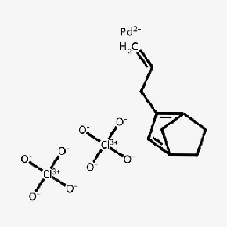 C=CCC1=C2CCC(=C1)C2.[O-][Cl+3]([O-])([O-])[O-].[O-][Cl+3]([O-])([O-])[O-].[Pd+2]